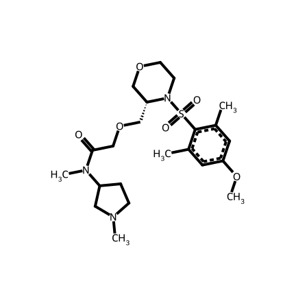 COc1cc(C)c(S(=O)(=O)N2CCOC[C@H]2COCC(=O)N(C)C2CCN(C)C2)c(C)c1